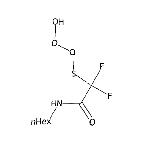 CCCCCCNC(=O)C(F)(F)SOOO